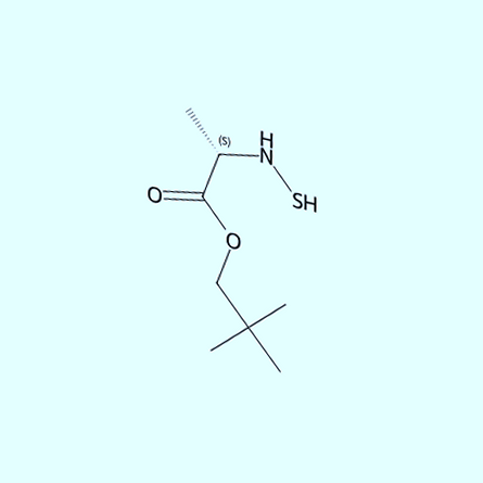 C[C@H](NS)C(=O)OCC(C)(C)C